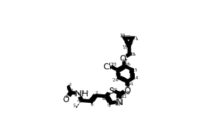 CC(=O)N[C@@H](C)/C=C/c1cnc(Oc2ccc(OCC3CC3)c(Cl)c2)s1